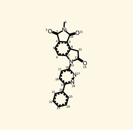 CN1C(=O)c2ccc3c(c2C1=O)CC(=O)N3c1ccc(-c2ccccc2)nn1